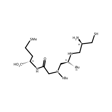 CCCCN(CC(=O)N[C@@H](CCSC)C(=O)O)C[C@@H](NC[C@@H](N)CS)[C@@H](C)CC